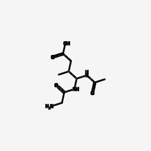 CC(=O)NC(NC(=O)CN)C(C)CC(=O)O